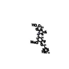 COc1cc(/C=C2\SC(=S)N(CC(=O)O)C2=O)cc(F)c1OCc1nc[nH]n1